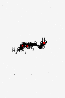 Cn1cc(-c2ccnc(-n3ncc4cc(C(C)(C)C)cc(F)c4c3=O)c2CO)cc(Nc2cc3n(n2)CCN(C(=O)CCCCc2cccc4c2CN(C2CCC(=O)NC2=O)C4=O)C3)c1=O